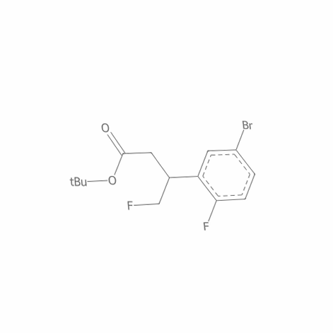 CC(C)(C)OC(=O)CC(CF)c1cc(Br)ccc1F